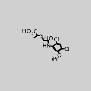 CC(C)Oc1cc(NC(O)CSC(C)C(=O)O)c(Cl)cc1Cl